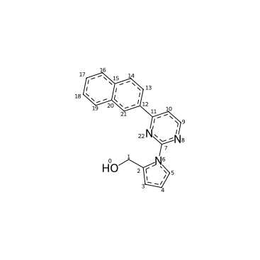 OCc1cccn1-c1nccc(-c2ccc3ccccc3c2)n1